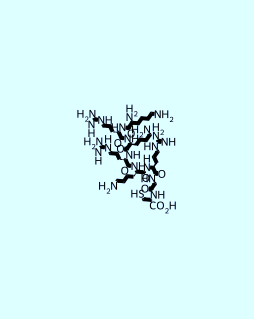 N=C(N)NCCC[C@H](NC(=O)[C@H](CCCCN)NC(=O)[C@H](CCCNC(=N)N)NC(=O)[C@H](CCCCN)NC(=O)[C@H](CCCNC(=N)N)NC(=O)[C@@H](N)CCCCN)C(=O)NCC(=O)N[C@@H](CS)C(=O)O